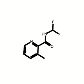 Cc1cccnc1C(=O)NC(F)F